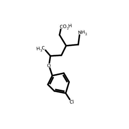 CC(CC(CN)CC(=O)O)Oc1ccc(Cl)cc1